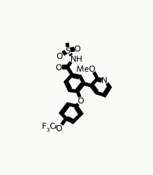 COc1ncccc1-c1cc(C(=O)NS(C)(=O)=O)ccc1Oc1ccc(OC(F)(F)F)cc1